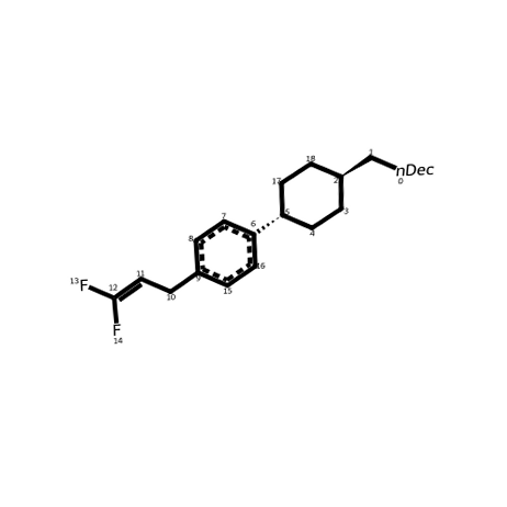 CCCCCCCCCCC[C@H]1CC[C@H](c2ccc(CC=C(F)F)cc2)CC1